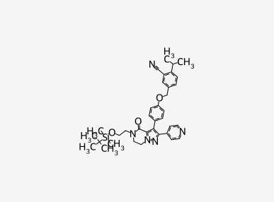 CC(C)c1ccc(COc2ccc(-c3c(-c4ccncc4)nn4c3C(=O)N(CCO[Si](C)(C)C(C)(C)C)CC4)cc2)cc1C#N